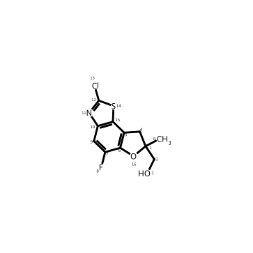 CC1(CO)Cc2c(c(F)cc3nc(Cl)sc23)O1